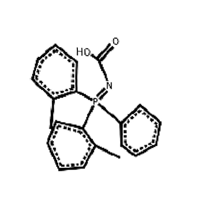 Cc1ccccc1P(=NC(=O)O)(c1ccccc1)c1ccccc1C